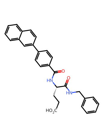 O=C(O)CC[C@H](NC(=O)c1ccc(-c2ccc3ccccc3c2)cc1)C(=O)NCc1ccccc1